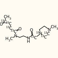 C[13C](=O)[13CH2][13CH2][13C](=O)N(C)CCNC(=O)[13CH2][15N]1CCN(C)[13CH2][13CH2]1